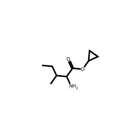 CCC(C)C(N)C(=O)OC1CC1